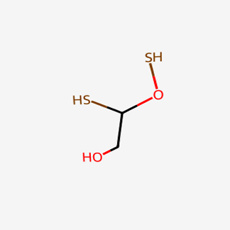 OCC(S)OS